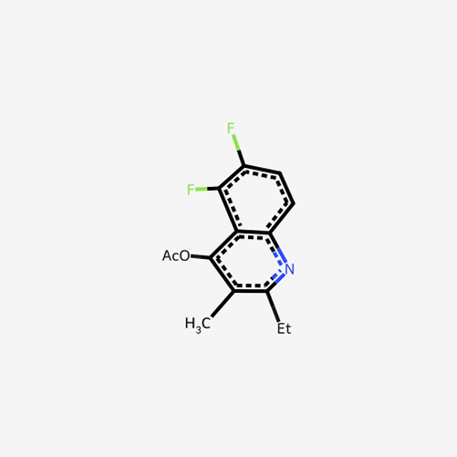 CCc1nc2ccc(F)c(F)c2c(OC(C)=O)c1C